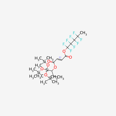 CCC(OC(=O)/C=C/C(=O)OC(F)(F)C(F)(F)C(F)(F)C(C)(F)F)[Si](O[Si](C)(C)C)(O[Si](C)(C)C)O[Si](C)(C)C